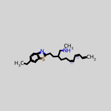 C=C/C=C\C=C/CCC(CCc1nc2ccc(CC)cc2s1)CNC